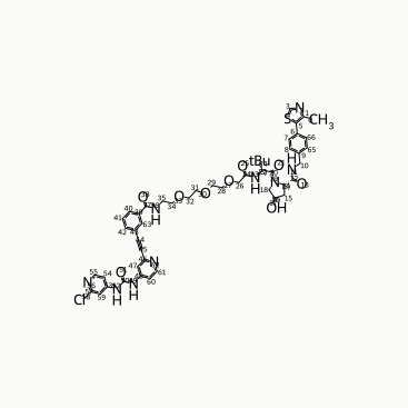 Cc1ncsc1-c1ccc(CNC(=O)[C@@H]2C[C@@H](O)CN2C(=O)[C@@H](NC(=O)COCCOCCOCCNC(=O)c2cccc(C#Cc3cc(NC(=O)Nc4ccnc(Cl)c4)ccn3)c2)C(C)(C)C)cc1